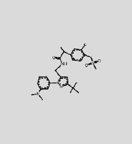 CC(C(=O)NCc1cc(C(C)(C)C)nn1-c1cccc(N(C)C)c1)c1ccc(CS(C)(=O)=O)c(F)c1